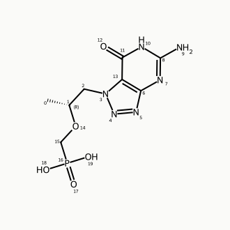 C[C@H](Cn1nnc2nc(N)[nH]c(=O)c21)OCP(=O)(O)O